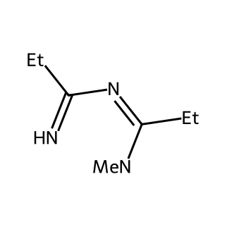 CCC(=N)/N=C(/CC)NC